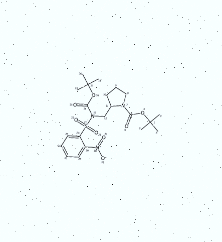 CC(C)(C)OC(=O)N1CCCC1CN(C(=O)OC(C)(C)C)S(=O)(=O)c1ccccc1[N+](=O)[O-]